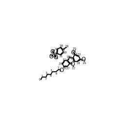 CCCCCCCCOc1ccc([I+]c2c(OC)cc(OC)cc2OC)cc1.Cc1ccc(S(=O)(=O)[O-])cc1